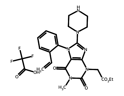 C=Cc1ccccc1-n1c(N2CCNCC2)nc2c1c(=O)n(C)c(=O)n2CC(=O)OCC.O=C(O)C(F)(F)F